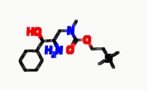 CN(C[C@@H](N)[C@H](O)C1CCCCC1)C(=O)OCC[Si](C)(C)C